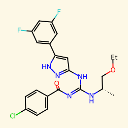 CCOC[C@H](C)N/C(=N/C(=O)c1ccc(Cl)cc1)Nc1cc(-c2cc(F)cc(F)c2)[nH]n1